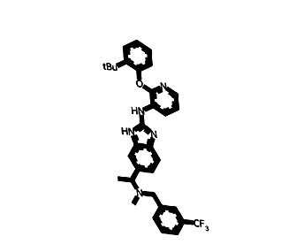 CC(c1ccc2nc(Nc3cccnc3Oc3ccccc3C(C)(C)C)[nH]c2c1)N(C)Cc1cccc(C(F)(F)F)c1